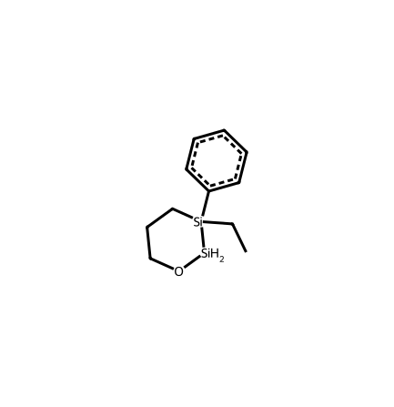 CC[Si]1(c2ccccc2)CCCO[SiH2]1